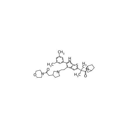 Cc1cc(C)cc(-c2[nH]c3sc(C(C)(C)C(=O)N4C5CCC4CC5)cc3c2CCN2CCC(CC(=O)N3CCOCC3)C2)c1